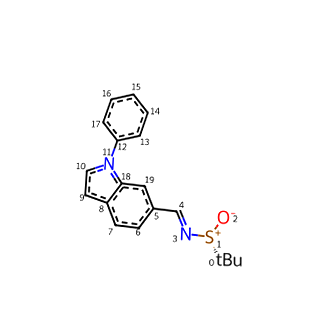 CC(C)(C)[S@@+]([O-])/N=C/c1ccc2ccn(-c3ccccc3)c2c1